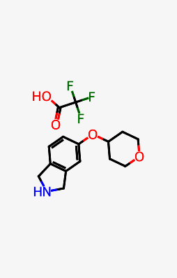 O=C(O)C(F)(F)F.c1cc2c(cc1OC1CCOCC1)CNC2